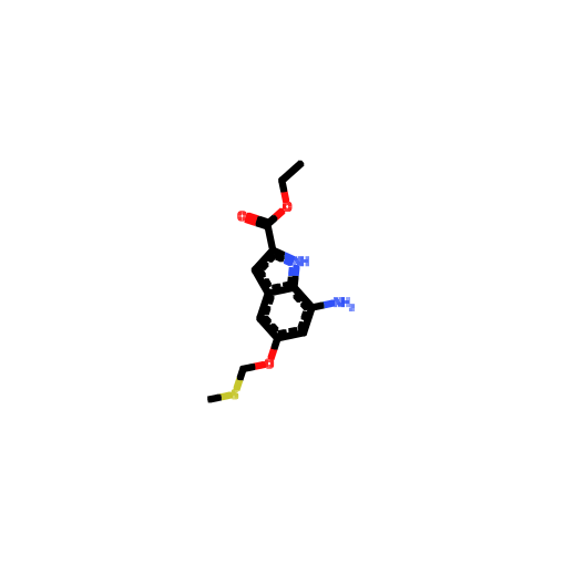 CCOC(=O)c1cc2cc(OCSC)cc(N)c2[nH]1